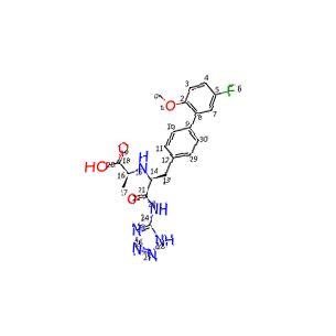 COc1ccc(F)cc1-c1ccc(C[C@H](N[C@@H](C)C(=O)O)C(=O)Nc2nnn[nH]2)cc1